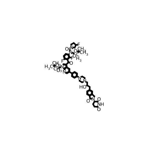 CC(C)(C)OC(=O)N(c1ccc(F)c(C(=O)c2cn(C(=O)OC(C)(C)C)c3ncc(-c4ccc(N5CCN(CC(O)Cc6ccc7c(c6)CN(C6CCC(=O)NC6=O)C7=O)CC5)cc4)cc23)c1F)[S+]([O-])N1CCC(F)C1